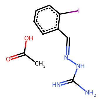 CC(=O)O.N=C(N)NN=Cc1ccccc1I